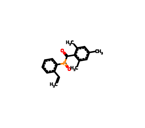 C=Cc1ccccc1[P](=O)C(=O)c1c(C)cc(C)cc1C